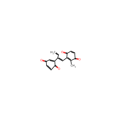 C=C/C(=C\C1=C(C)C(=O)C=CC1=O)C1=CC(=O)C=CC1=O